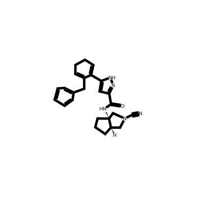 N#CN1C[C@H]2CCC[C@@]2(NC(=O)c2cc(C3=CCCC=C3Cc3ccccc3)[nH]n2)C1